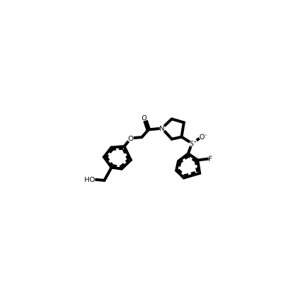 O=C(COc1ccc(CO)cc1)N1CCC([S+]([O-])c2ccccc2F)C1